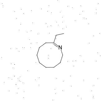 CC/C1=N/CCCCCCCC1